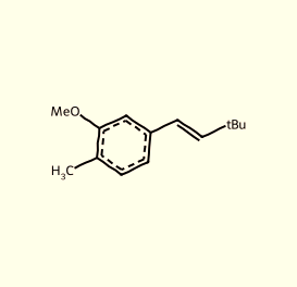 COc1cc(/C=C/C(C)(C)C)ccc1C